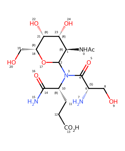 CC(=O)N[C@H]1C(N(C(=O)[C@@H](N)CO)[C@H](CCC(=O)O)C(N)=O)O[C@H](CO)[C@H](O)[C@@H]1O